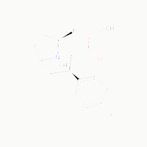 COC(=O)[C@@H]1[C@@H](c2ccc(Cl)cc2)CC2CC[C@H]1N2C